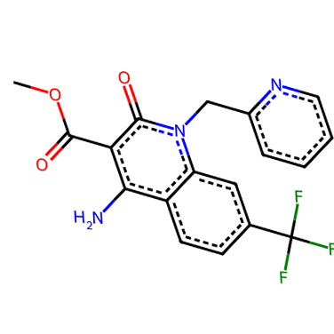 COC(=O)c1c(N)c2ccc(C(F)(F)F)cc2n(Cc2ccccn2)c1=O